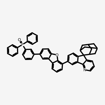 O=P(c1ccccc1)(c1ccccc1)c1cccc(-c2ccc3oc4c(-c5ccc6c(c5)-c5ncccc5C65C6CC7CC(C6)CC5C7)cccc4c3c2)c1